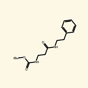 CC(C)(C)OC(=O)NCCC(=O)NCCc1ccccc1